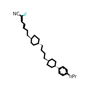 CCCc1ccc([C@H]2CC[C@H](CCCC[C@H]3CC[C@H](CCC=CC=C(F)C#N)CC3)CC2)cc1